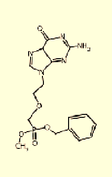 COP(=O)(COCCN1C=NC2C(=O)N=C(N)N=C21)OCc1ccccc1